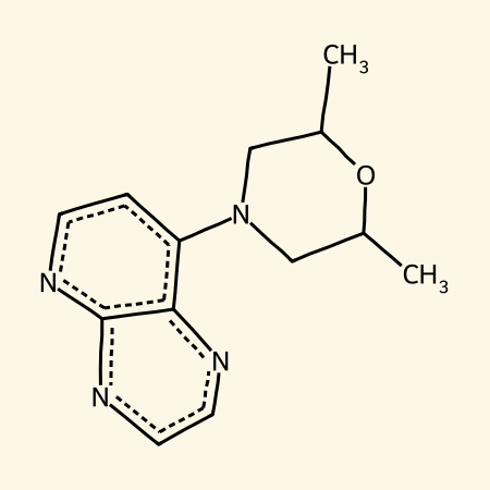 CC1CN(c2ccnc3nccnc23)CC(C)O1